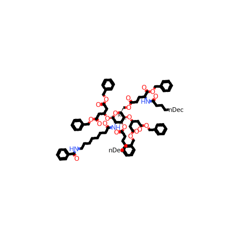 CCCCCCCCCCCCCC(=O)NC(CCC(=O)OC[C@H]1O[C@H](OC(CC(=O)OCc2ccccc2)CC(=O)OCc2ccccc2)[C@@H](NC(=O)CCCCCCCNC(=O)c2ccccc2)[C@@H](OC(=O)CCCCCCCCCCCCC)[C@@H]1OC(CC(=O)OCc1ccccc1)CC(=O)OCc1ccccc1)C(=O)OCc1ccccc1